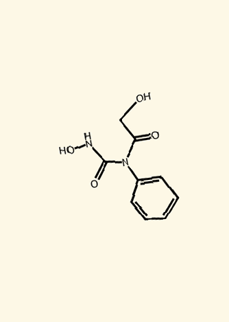 O=C(CO)N(C(=O)NO)c1ccccc1